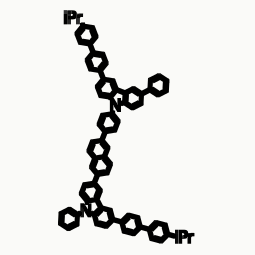 CC(C)c1ccc(-c2ccc(-c3ccc4c(c3)c3cc(-c5ccccc5)ccc3n4-c3ccc(-c4ccc5cc(-c6ccc7c(c6)c6cc(-c8ccc(-c9ccc(C(C)C)cc9)cc8)ccc6n7-c6ccccc6)ccc5c4)cc3)cc2)cc1